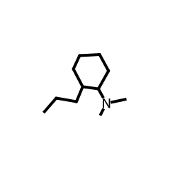 CCCC1CCCCC1N(C)C